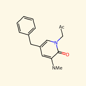 CNc1cc(Cc2ccccc2)cn(CC(C)=O)c1=O